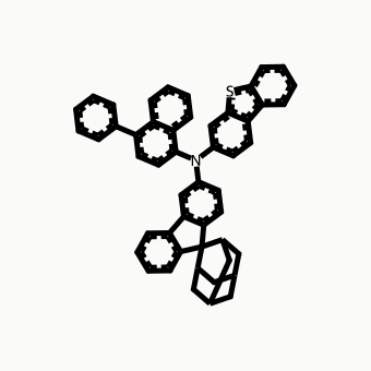 c1ccc(-c2ccc(N(c3ccc4c(c3)-c3ccccc3C43C4CC5CC(C4)CC3C5)c3ccc4c(c3)sc3ccccc34)c3ccccc23)cc1